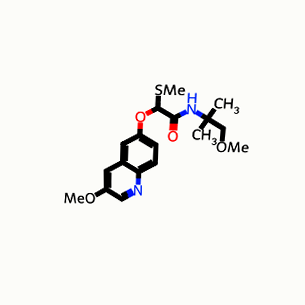 COCC(C)(C)NC(=O)C(Oc1ccc2ncc(OC)cc2c1)SC